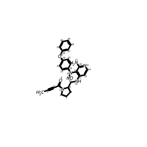 CC#CC(=O)N1CCCC1CNc1ccnc(N)c1N(N=O)c1ccc(Oc2ccccc2)cc1